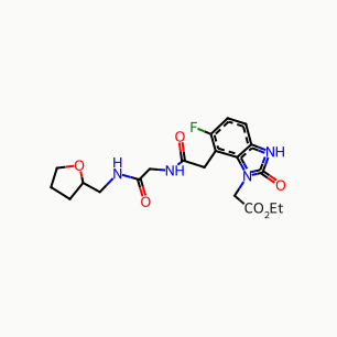 CCOC(=O)Cn1c(=O)[nH]c2ccc(F)c(CC(=O)NCC(=O)NCC3CCCO3)c21